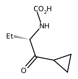 CC[C@H](NC(=O)O)C(=O)C1CC1